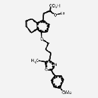 CCOC(Cc1ccc(OCCCc2nc(-c3ccc(OC)cc3)oc2C)c2c1CCCC2)C(=O)O